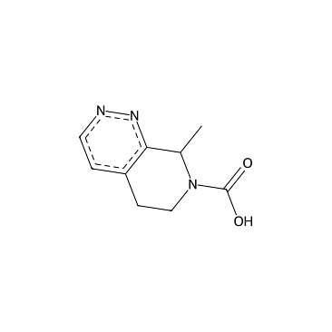 CC1c2nnccc2CCN1C(=O)O